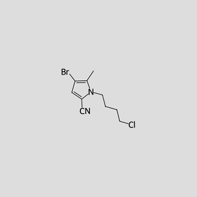 Cc1c(Br)cc(C#N)n1CCCCCl